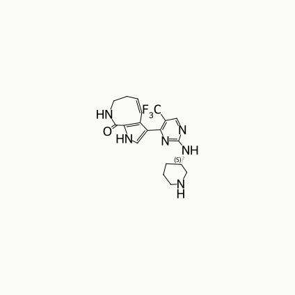 O=C1NCCC=Cc2c(-c3nc(N[C@H]4CCCNC4)ncc3C(F)(F)F)c[nH]c21